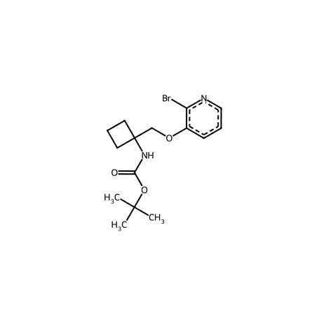 CC(C)(C)OC(=O)NC1(COc2cccnc2Br)CCC1